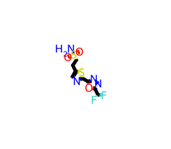 NS(=O)(=O)CCc1cnc(-c2nnc(C(F)F)o2)s1